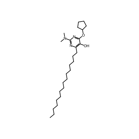 CCCCCCCCCCCCCCCCc1nc(N(C)C)nc(OC2CCCC2)c1O